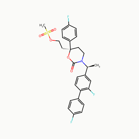 C[C@@H](c1ccc(-c2ccc(F)cc2)c(F)c1)N1CC[C@](CCOS(C)(=O)=O)(c2ccc(F)cc2)OC1=O